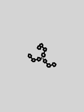 c1ccc(-c2cccc(-c3ccc(N(c4ccc(-c5cccc(-c6ccccc6)c5)cc4)c4ccc(-c5cccc(-c6cccc7ccccc67)c5)cc4)cc3)c2)cc1